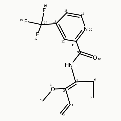 C=C/C(OC)=C(\CC)NC(=O)c1cc(C(F)(F)F)ccn1